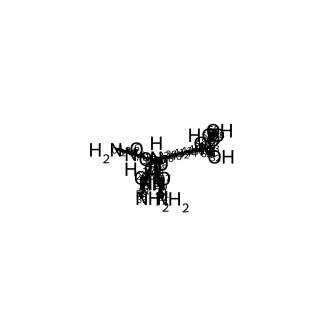 NCCCNC(=O)CCOCC(COCCC(=O)NCCCN)(COCCC(=O)NCCCN)NC(=O)CCCCCCCCCCC(=O)N1CC(O)C[C@H]1COP(=O)(O)O